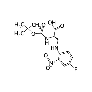 CC(C)(C)OC(=O)N[C@H](CNc1ccc(F)cc1[N+](=O)[O-])C(=O)O